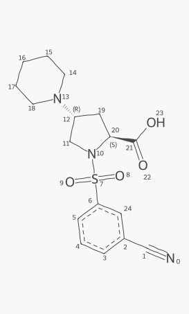 N#Cc1cccc(S(=O)(=O)N2C[C@H](N3CCCCC3)C[C@H]2C(=O)O)c1